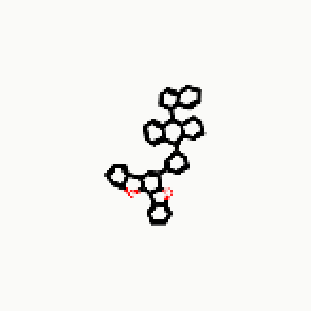 C1=CC(C2c3ccccc3C(C3C=C(C4=CC5c6ccccc6OC5C5c6ccccc6OC45)C=CC3)=C3C=CCCC32)C2C=CCCC2=C1